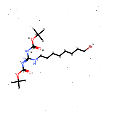 CC(C)(C)OC(=O)/N=C(\NCCCCCCCCBr)NC(=O)OC(C)(C)C